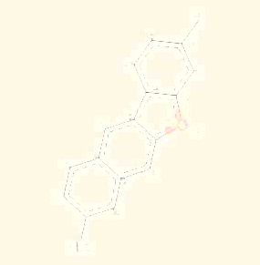 CCc1ccc2cc3c(cc2c1)oc1cc(C)ccc13